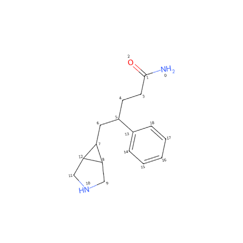 NC(=O)CCC(CC1C2CNCC21)c1ccccc1